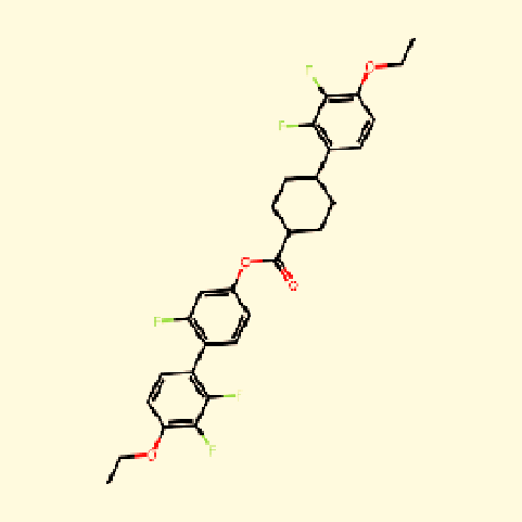 CCOc1ccc(-c2ccc(OC(=O)C3CCC(c4ccc(OCC)c(F)c4F)CC3)cc2F)c(F)c1F